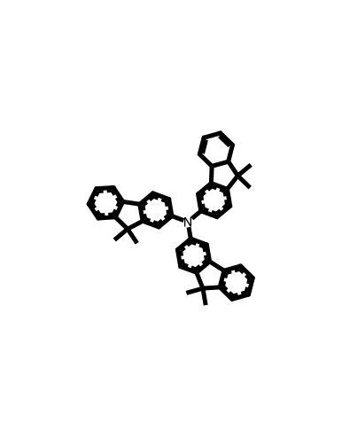 CC1(C)c2ccccc2-c2cc(N(c3ccc4c(c3)C3C=CC=CC3C4(C)C)c3ccc4c(c3)C(C)(C)c3ccccc3-4)ccc21